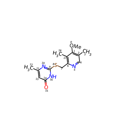 COc1c(C)cnc(CSc2nc(C)cc(=O)[nH]2)c1C